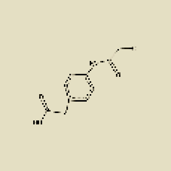 O=C(O)Cc1ccc(NC(=O)CCl)cc1